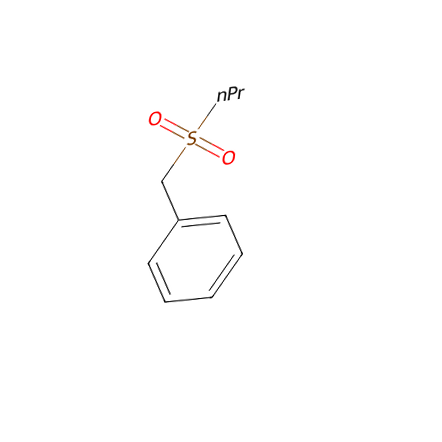 CCCS(=O)(=O)Cc1ccccc1